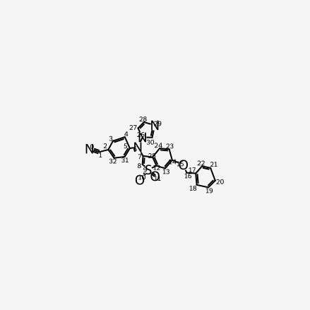 N#Cc1ccc(N(C2=CS(=O)(=O)c3cc(OCc4ccccc4)ccc32)n2ccnc2)cc1